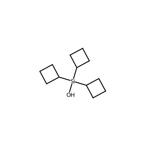 O[Si](C1CCC1)(C1CCC1)C1CCC1